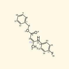 C/C(=C/C(=O)OCc1ccccc1)Nc1ccc(F)cc1